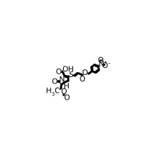 C[C@@H](OC=O)[C@H]1C(=O)N2C(C(=O)O)=C(SC=CC(=O)OCc3ccc([N+](=O)[O-])cc3)C[C@H]12